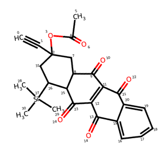 C#CC1(OC(C)=O)CC2C(=O)C3=C(C(=O)c4ccccc4C3=O)C(=O)C2C([Si](C)(C)C)C1